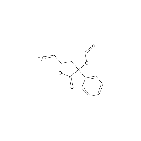 C=CCCC(OC=O)(C(=O)O)c1ccccc1